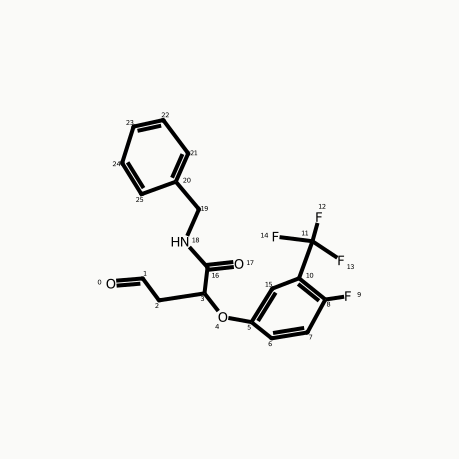 O=CCC(Oc1ccc(F)c(C(F)(F)F)c1)C(=O)NCc1ccccc1